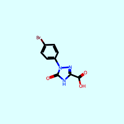 O=C(O)c1nn(-c2ccc(Br)cc2)c(=O)[nH]1